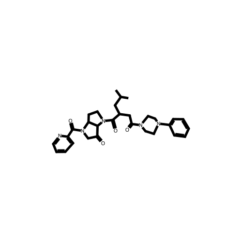 CC(C)CC(CC(=O)N1CCN(c2ccccc2)CC1)C(=O)N1CCC2C1C(=O)CN2C(=O)c1ccccn1